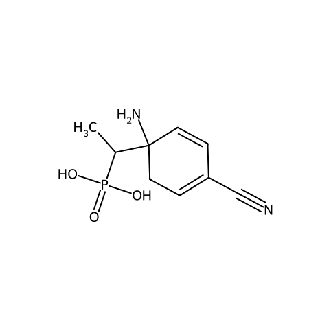 CC(C1(N)C=CC(C#N)=CC1)P(=O)(O)O